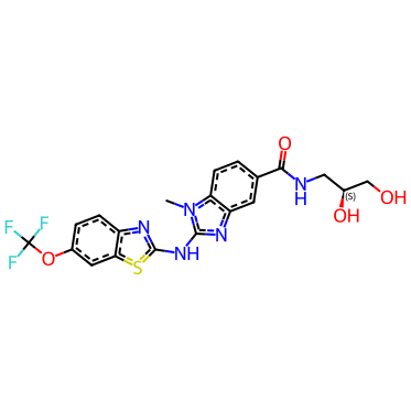 Cn1c(Nc2nc3ccc(OC(F)(F)F)cc3s2)nc2cc(C(=O)NC[C@H](O)CO)ccc21